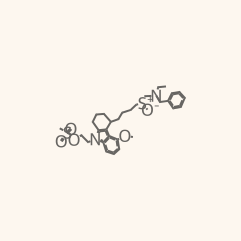 CCN(Cc1ccccc1)C[S+]([O-])CCCCC1CCCc2c1c1c(OC)cccc1n2CCOS(C)(=O)=O